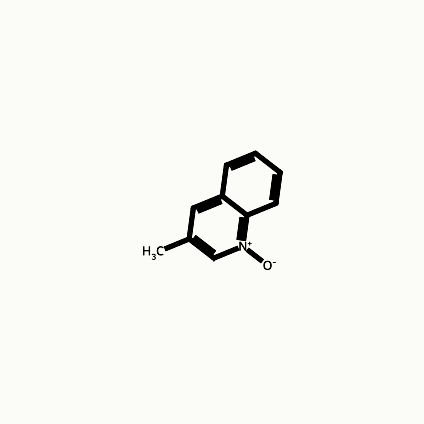 Cc1[c][n+]([O-])c2ccccc2c1